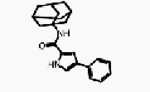 O=C(NC12CC3CC(CC(C3)C1)C2)c1cc(-c2ccccc2)c[nH]1